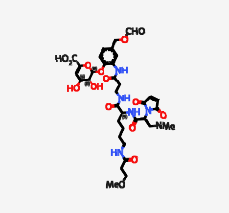 CNCC(C(=O)N[C@@H](CCCCNC(=O)CCOC)C(=O)NCCC(=O)Nc1cc(COC=O)ccc1O[C@@H]1OC(C(=O)O)=C[C@H](O)[C@H]1O)N1C(=O)C=CC1=O